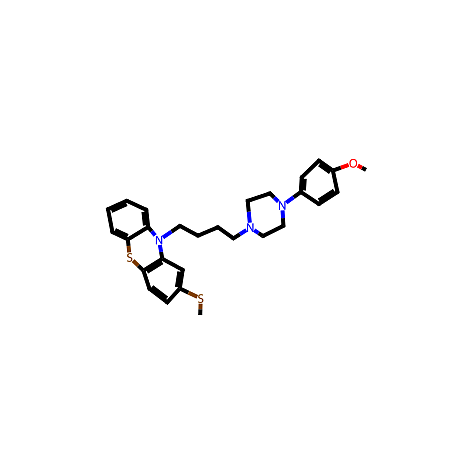 COc1ccc(N2CCN(CCCCN3c4ccccc4Sc4ccc(SC)cc43)CC2)cc1